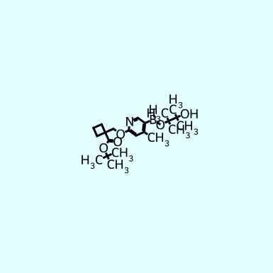 Cc1cc(OCC2(C(=O)OC(C)(C)C)CCC2)ncc1BOC(C)(C)C(C)(C)O